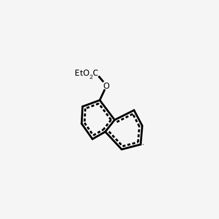 CCOC(=O)Oc1cccc2c[c]ccc12